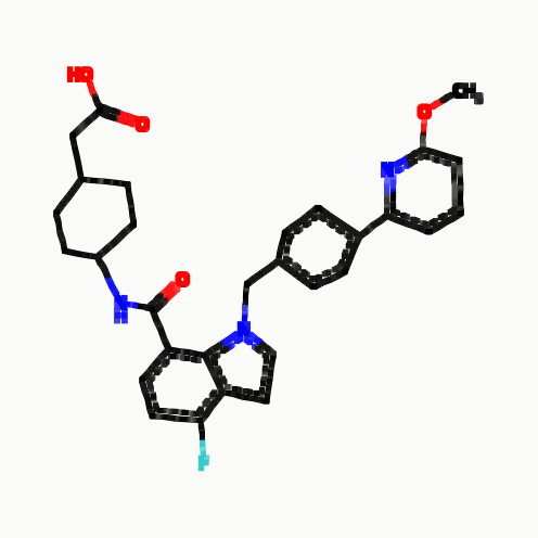 COc1cccc(-c2ccc(Cn3ccc4c(F)ccc(C(=O)NC5CCC(CC(=O)O)CC5)c43)cc2)n1